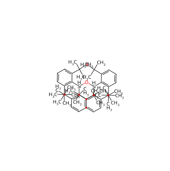 CC(C)(C)c1cccc(C(C)(C)C)c1[SiH](O[SiH](c1c(C(C)(C)C)cccc1C(C)(C)C)c1c(C(C)(C)C)cccc1C(C)(C)C)c1c(C(C)(C)C)cccc1C(C)(C)C